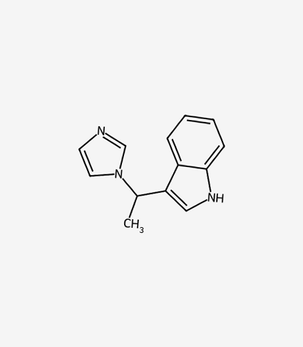 CC(c1c[nH]c2ccccc12)n1ccnc1